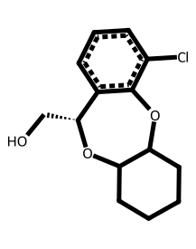 OC[C@H]1OC2CCCCC2Oc2c(Cl)cccc21